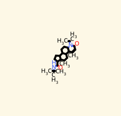 CC(C)N1C(=O)C=CC2(C)C3CCC4(C)C(C(=O)NC(C)(C)C)CCC4C3CCC12